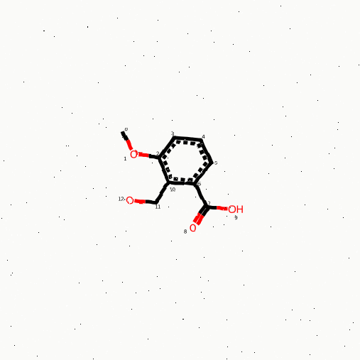 COc1cccc(C(=O)O)c1C[O]